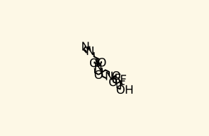 O=C(O[C@H](CO)C(F)(F)F)N1CCC2(CC1)CN(S(=O)(=O)CCCn1ccnc1)CCO2